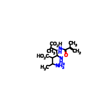 C=C(C)C(=O)NC(C(C)C(=O)O)C(N)C(C(=O)O)C(C)N